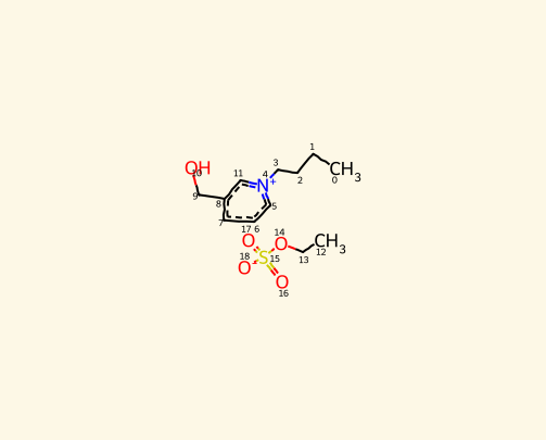 CCCC[n+]1cccc(CO)c1.CCOS(=O)(=O)[O-]